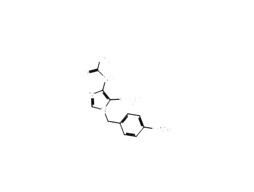 CCOC(=O)c1c(NC(=O)C(F)(F)F)ncn1Cc1ccc(OC)cc1